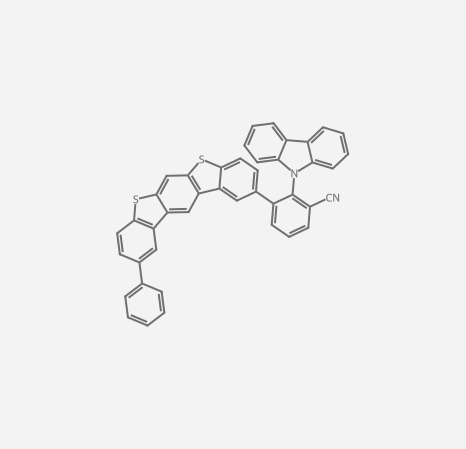 N#Cc1cccc(-c2ccc3sc4cc5sc6ccc(-c7ccccc7)cc6c5cc4c3c2)c1-n1c2ccccc2c2ccccc21